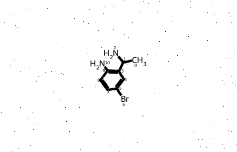 CC(N)c1cc(Br)ccc1N